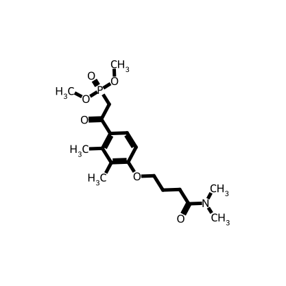 COP(=O)(CC(=O)c1ccc(OCCCC(=O)N(C)C)c(C)c1C)OC